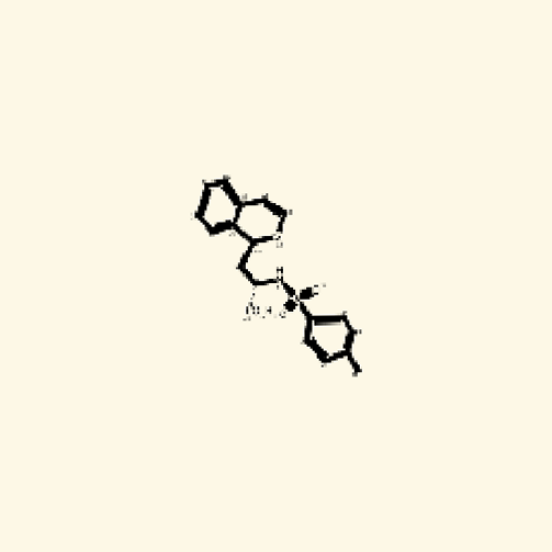 Cc1ccc(S(=O)(=O)N[C@@H](CC2SC=Cc3ccccc32)C(=O)O)cc1